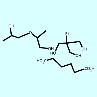 CC(O)COC(C)CO.CCC(CO)(CO)CO.O=C(O)CCCCC(=O)O